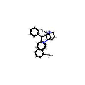 COc1ccccc1CNC1C2CCN(CC2)[C@H]1C(c1ccccc1)c1ccccc1